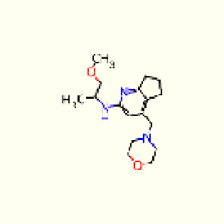 COCC(C)Nc1cc(CN2CCOCC2)c2c(n1)CCC2